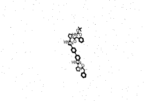 C[C@@H](C(=O)N1CCC[C@H]1c1nc2ccc(-c3ccc(-c4c[nH]c(C5CCCN5C(=O)[C@H](NC(=O)OC(C)(C)C)c5ccccc5)n4)cc3)cc2[nH]1)c1ccccc1